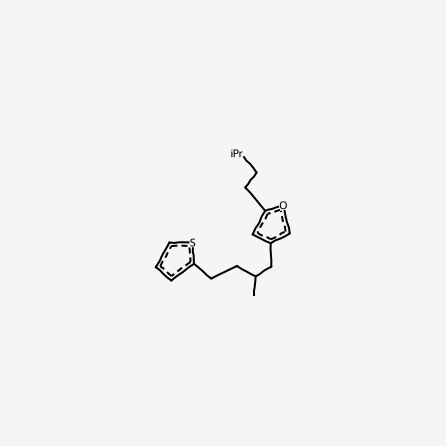 CC(C)CCc1cc(CC(C)CCc2cccs2)co1